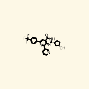 O=c1[nH]c([C@@H]2CC[C@H](O)C2)nc2c(-c3cccnc3)nc(-c3ccc(C(F)(F)F)cc3)cc12